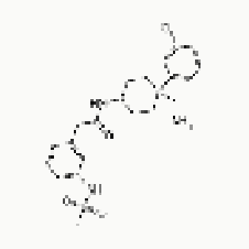 CS(=O)(=O)Nc1cccc(CC(=O)NC2CCC(CN)(c3cccc(Cl)c3)CC2)c1